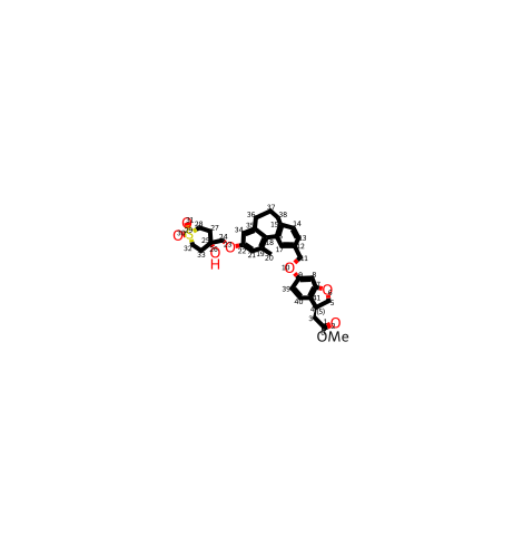 COC(=O)C[C@@H]1COc2cc(OCc3ccc4c(c3)-c3c(C)cc(OCC5(O)CCS(=O)(=O)CC5)cc3CCC4)ccc21